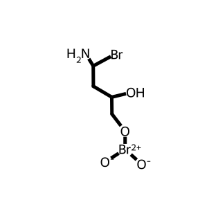 NC(Br)CC(O)CO[Br+2]([O-])[O-]